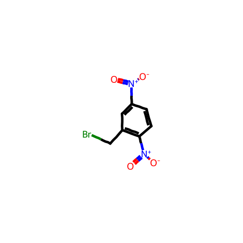 O=[N+]([O-])c1ccc([N+](=O)[O-])c(CBr)c1